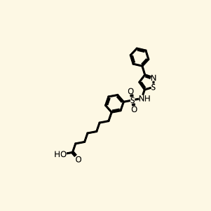 O=C(O)CCCCCCc1cccc(S(=O)(=O)Nc2cc(-c3ccccc3)ns2)c1